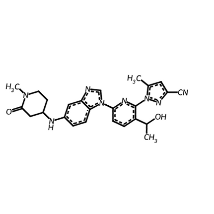 Cc1cc(C#N)nn1-c1nc(-n2cnc3cc(NC4CCN(C)C(=O)C4)ccc32)ccc1C(C)O